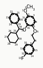 COc1ccc(OCCc2ccc(F)cc2)c(OC(c2ccccc2)C2CCCCC2)c1